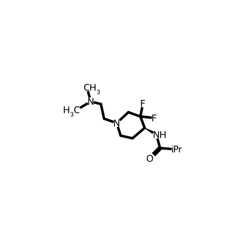 CC(C)C(=O)N[C@H]1CCN(CCN(C)C)CC1(F)F